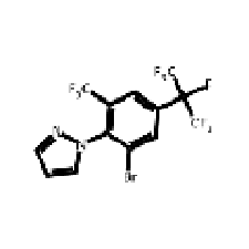 FC(F)(F)c1cc(C(F)(C(F)(F)F)C(F)(F)F)cc(Br)c1-n1cccn1